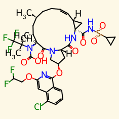 C[C@H]1CC/C=C\[C@@H]2C[C@@]2(C(=O)NS(=O)(=O)C2CC2)NC(=O)[C@@H]2C[C@@H](Oc3nc(OCC(F)F)cc4c(Cl)cccc34)CN2C(=O)[C@@H](N(C(=O)O)C(C)(C)C(F)(F)F)[C@H](C)C1